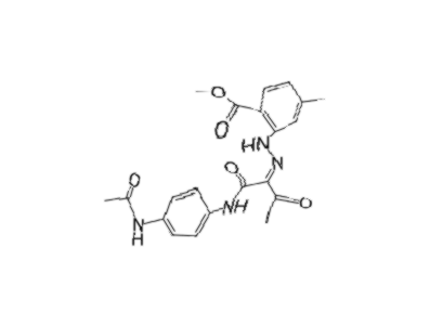 COC(=O)c1ccc(C)cc1N/N=C(/C(C)=O)C(=O)Nc1ccc(NC(C)=O)cc1